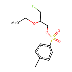 COCOC(CF)COS(=O)(=O)c1ccc(C)cc1